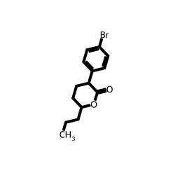 CCCC1CCC(c2ccc(Br)cc2)C(=O)O1